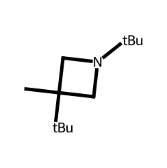 CC(C)(C)N1CC(C)(C(C)(C)C)C1